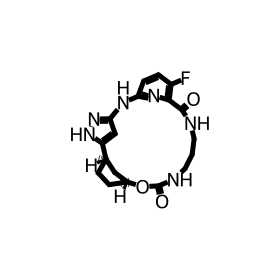 O=C1NCCCNC(=O)c2nc(ccc2F)Nc2cc([nH]n2)[C@H]2CC[C@H](C2)O1